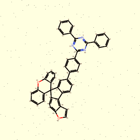 c1ccc(-c2nc(-c3ccccc3)nc(-c3ccc(-c4ccc5c(c4)C4(c6ccccc6Oc6ccccc64)c4ccc6occc6c4-5)cc3)n2)cc1